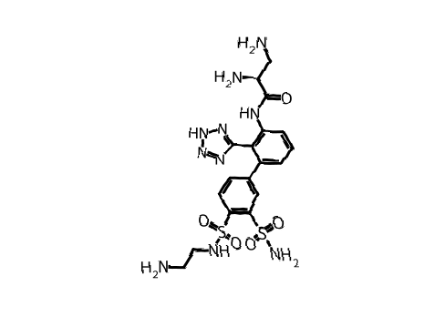 NCCNS(=O)(=O)c1ccc(-c2cccc(NC(=O)[C@@H](N)CN)c2-c2nn[nH]n2)cc1S(N)(=O)=O